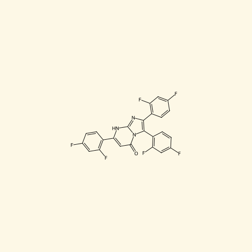 O=c1cc(-c2ccc(F)cc2F)[nH]c2nc(-c3ccc(F)cc3F)c(-c3ccc(F)cc3F)n12